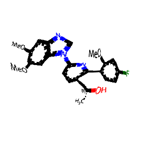 COc1cc2ncn(-c3ccc([C@@H](C)O)c(-c4ccc(F)cc4OC)n3)c2cc1OC